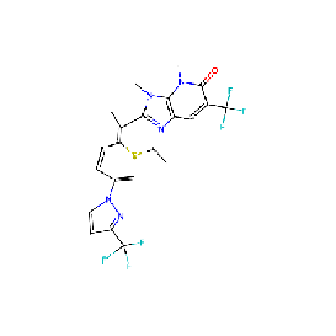 C=C(/C=C\C(SCC)=C(/C)c1nc2cc(C(F)(F)F)c(=O)n(C)c2n1C)n1ccc(C(F)(F)F)n1